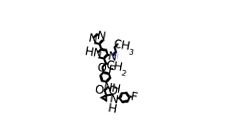 C=C(Oc1ccc(NC(=O)C2(C(=O)Nc3ccc(F)cc3)CC2)cc1F)C1=C(/N=C\CC)C=C(c2cncnc2)NC1